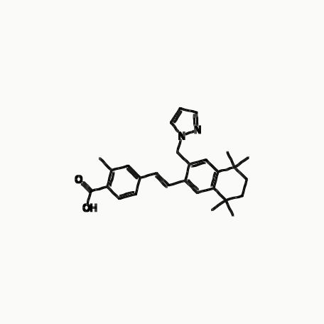 Cc1cc(C=Cc2cc3c(cc2Cn2cccn2)C(C)(C)CCC3(C)C)ccc1C(=O)O